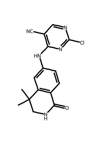 CC1(C)CNC(=O)c2ccc(Nc3nc(Cl)ncc3C#N)cc21